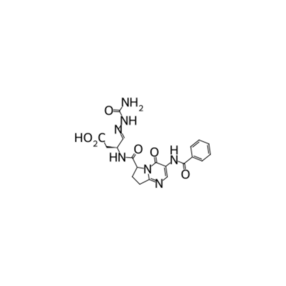 NC(=O)N/N=C/[C@H](CC(=O)O)NC(=O)C1CCc2ncc(NC(=O)c3ccccc3)c(=O)n21